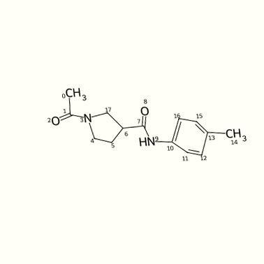 CC(=O)N1CCC(C(=O)Nc2ccc(C)cc2)C1